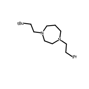 CC(C)CCN1CCCN(CCC(C)(C)C)CC1